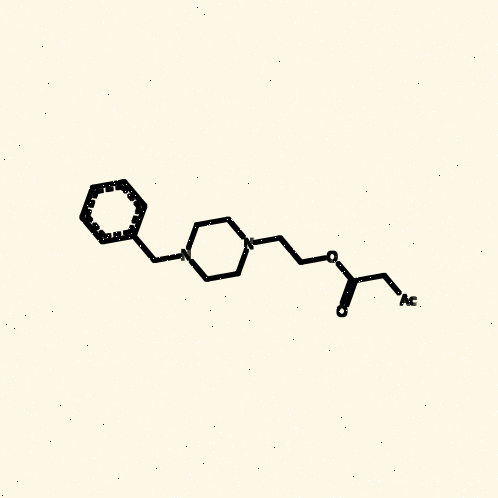 CC(=O)CC(=O)OCCN1CCN(Cc2ccccc2)CC1